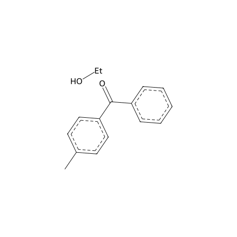 CCO.Cc1ccc(C(=O)c2ccccc2)cc1